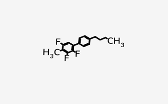 CCCCc1ccc(-c2cc(F)c(C)c(F)c2F)cc1